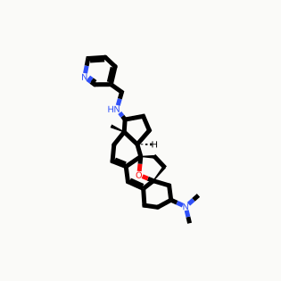 CN(C)C1CCC2=CC3=CC[C@]4(C)C(NCc5cccnc5)CC[C@H]4[C@@]34CC[C@]2(C1)O4